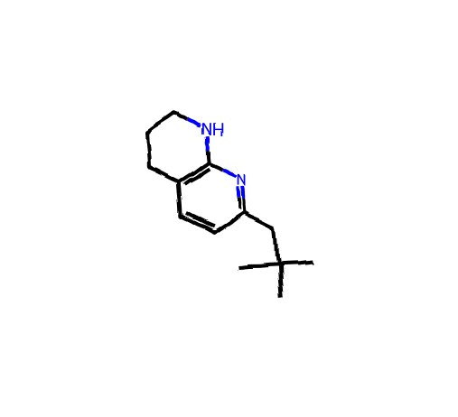 CC(C)(C)Cc1ccc2c(n1)NCCC2